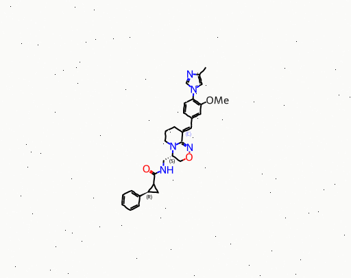 COc1cc(/C=C2\CCCN3C2=NOC[C@@H]3CNC(=O)C2C[C@H]2c2ccccc2)ccc1-n1cnc(C)c1